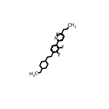 CCCc1ccc(-c2ccc(CCC3CCC(CC)CC3)c(F)c2F)nn1